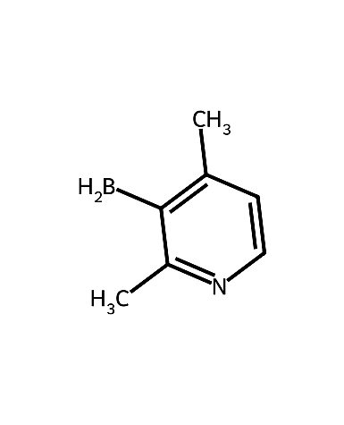 Bc1c(C)ccnc1C